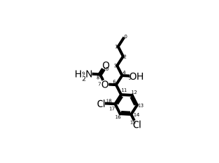 CCCCC(O)C(OC(N)=O)c1ccc(Cl)cc1Cl